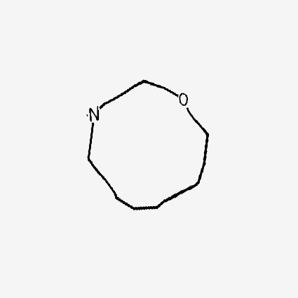 C1CC[N]COCC1